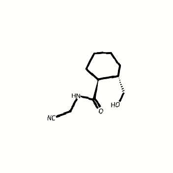 N#CCNC(=O)[C@H]1CCCC[C@@H]1CO